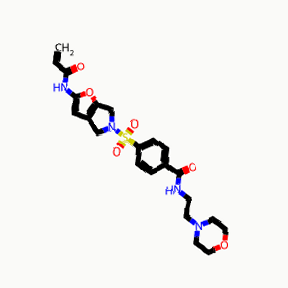 C=CC(=O)Nc1cc2c(o1)CN(S(=O)(=O)c1ccc(C(=O)NCCN3CCOCC3)cc1)C2